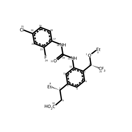 CCO[C@@H](c1ccc([C@@H](CC)CC(=O)O)cc1NC(=O)Nc1ccc(Cl)cc1F)C(F)(F)F